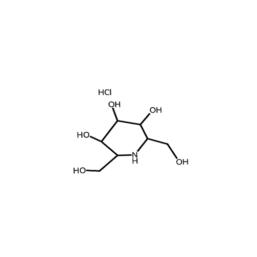 Cl.OCC1NC(CO)C(O)C(O)C1O